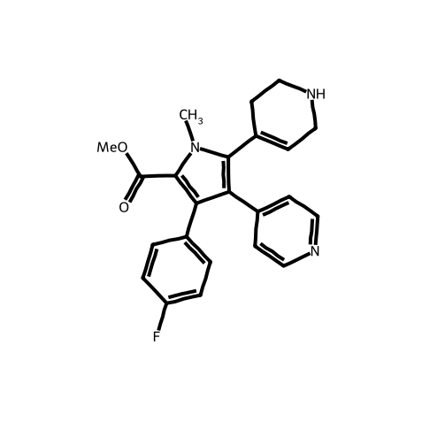 COC(=O)c1c(-c2ccc(F)cc2)c(-c2ccncc2)c(C2=CCNCC2)n1C